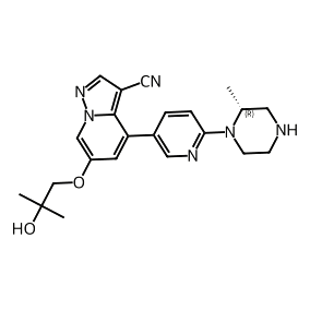 C[C@@H]1CNCCN1c1ccc(-c2cc(OCC(C)(C)O)cn3ncc(C#N)c23)cn1